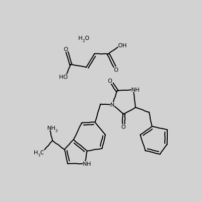 CC(N)c1c[nH]c2ccc(CN3C(=O)NC(Cc4ccccc4)C3=O)cc12.O.O=C(O)C=CC(=O)O